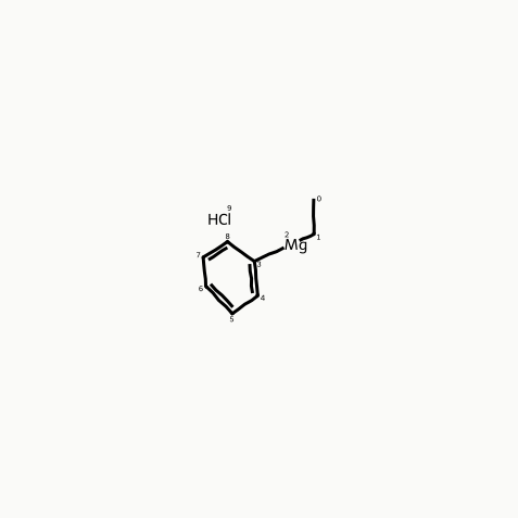 C[CH2][Mg][c]1ccccc1.Cl